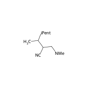 CCCC(C)C(C)C(C#N)CNC